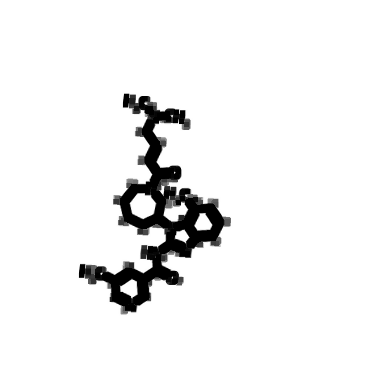 Cc1cncc(C(=O)Nc2nc3cccc(C)c3n2C2CCCCN(C(=O)C=CCN(C)C)C2)c1